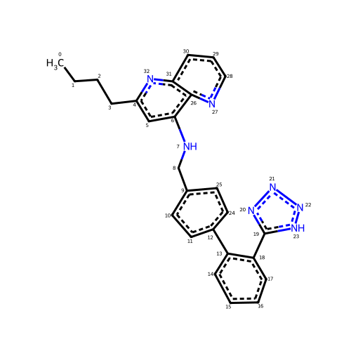 CCCCc1cc(NCc2ccc(-c3ccccc3-c3nnn[nH]3)cc2)c2ncccc2n1